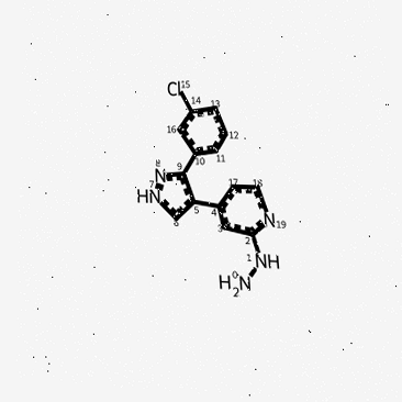 NNc1cc(-c2c[nH]nc2-c2cccc(Cl)c2)ccn1